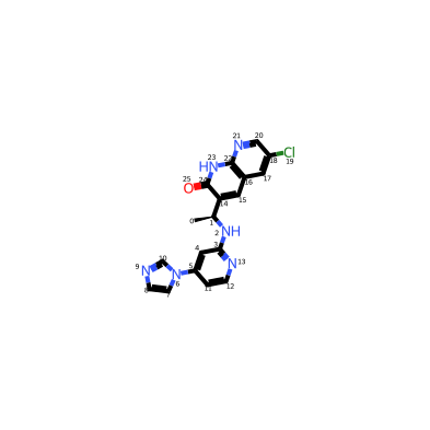 C[C@H](Nc1cc(-n2ccnc2)ccn1)c1cc2cc(Cl)cnc2[nH]c1=O